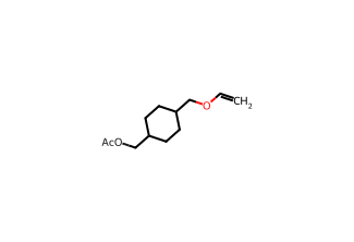 C=COCC1CCC(COC(C)=O)CC1